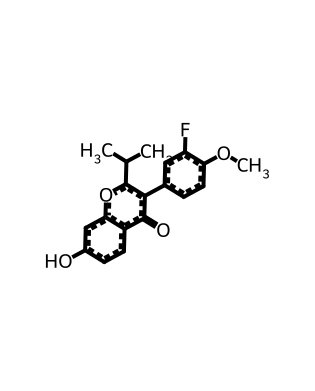 COc1ccc(-c2c(C(C)C)oc3cc(O)ccc3c2=O)cc1F